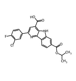 CC(C)OC(=O)c1ccc2c(c1)[nH]c1c(C(=O)O)cc(-c3ccc(F)c(Cl)c3)nc12